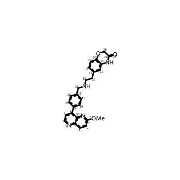 COc1ccc2nccc(-c3ccc(CNCCc4ccc5c(c4)NC(=O)CO5)cc3)c2n1